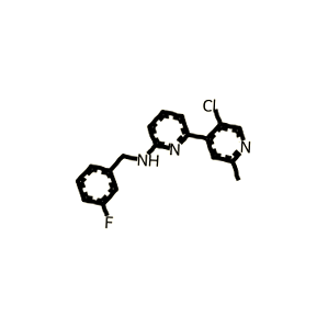 Cc1cc(-c2cccc(NCc3cccc(F)c3)n2)c(Cl)cn1